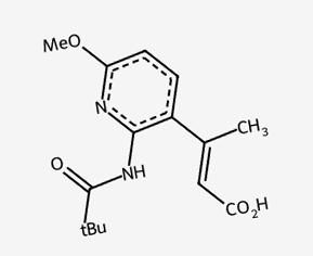 COc1ccc(/C(C)=C/C(=O)O)c(NC(=O)C(C)(C)C)n1